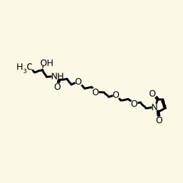 CC[C@H](O)CNC(=O)CCOCCOCCOCCOCCN1C(=O)C=CC1=O